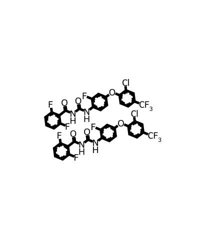 O=C(NC(=O)c1c(F)cccc1F)Nc1ccc(Oc2ccc(C(F)(F)F)cc2Cl)cc1F.O=C(NC(=O)c1c(F)cccc1F)Nc1ccc(Oc2ccc(C(F)(F)F)cc2Cl)cc1F